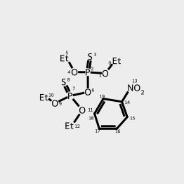 CCOP(=S)(OCC)OP(=S)(OCC)OCC.O=[N+]([O-])c1ccccc1